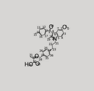 COc1ccc2c(c1)c(C(=O)c1ccc(C)cc1)c(C)n2CCCc1ccc(CO[C@H](C)C(=O)O)cc1